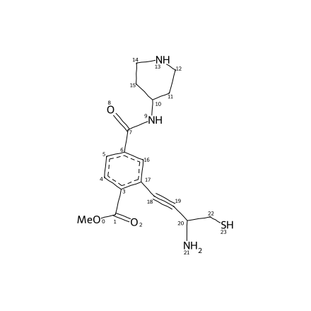 COC(=O)c1ccc(C(=O)NC2CCNCC2)cc1C#CC(N)CS